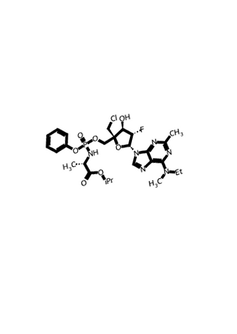 CCN(C)c1nc(C)nc2c1ncn2[C@@H]1O[C@](CCl)(COP(=O)(N[C@@H](C)C(=O)OC(C)C)Oc2ccccc2)[C@@H](O)[C@@H]1F